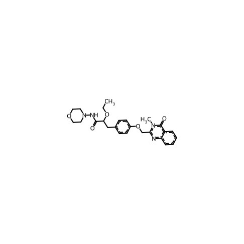 CCOC(Cc1ccc(OCc2nc3ccccc3c(=O)n2C)cc1)C(=O)NN1CCOCC1